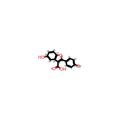 O=C(O)c1c(-c2ccc(Br)cc2)oc2ccc(O)cc12